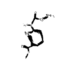 NN(C(=O)OP)c1cccc(C(=O)OI)n1